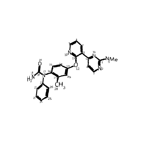 CNc1nccc(-c2cccnc2Oc2ccc(N(C(N)=O)c3ccccc3)c(C)c2)n1